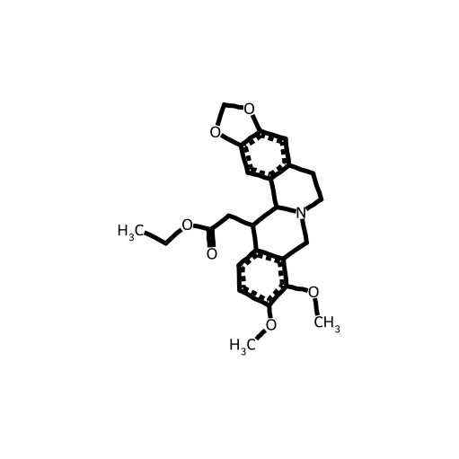 CCOC(=O)CC1c2ccc(OC)c(OC)c2CN2CCc3cc4c(cc3C12)OCO4